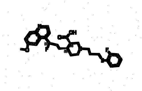 COc1ccc2nccc([C@H](F)CC[C@@H]3CCN(CCCSc4ccccc4F)C[C@@H]3C(=O)O)c2c1